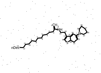 C=C(CCCCCCCCCCCCCCCCCCCCC)NCCC1=CSC2CC=C(N3CCCCC3)C=C12